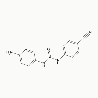 N#Cc1ccc(NC(=O)Nc2ccc(N)cc2)cc1